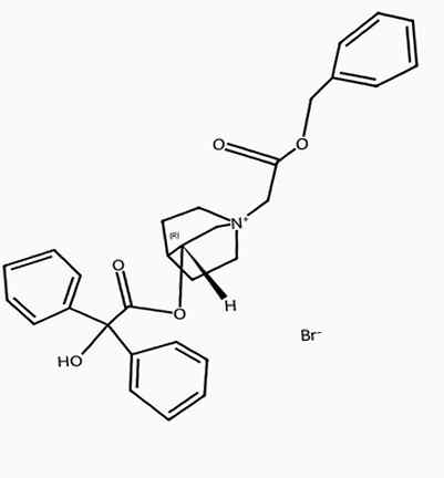 O=C(C[N+]12CCC(CC1)[C@@H](OC(=O)C(O)(c1ccccc1)c1ccccc1)C2)OCc1ccccc1.[Br-]